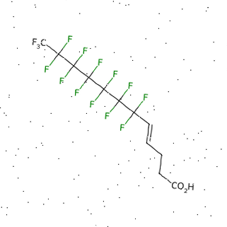 O=C(O)CCC=CC(F)(F)C(F)(F)C(F)(F)C(F)(F)C(F)(F)C(F)(F)C(F)(F)F